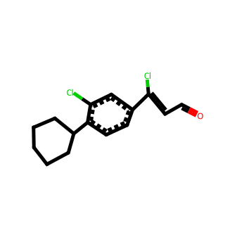 O=CC=C(Cl)c1ccc(C2CCCCC2)c(Cl)c1